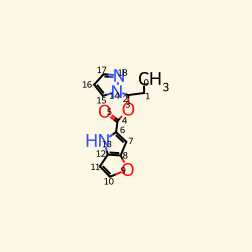 CCC(OC(=O)c1cc2occc2[nH]1)n1cccn1